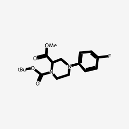 COC(=O)C1CN(c2ccc(F)cc2)CCN1C(=O)OC(C)(C)C